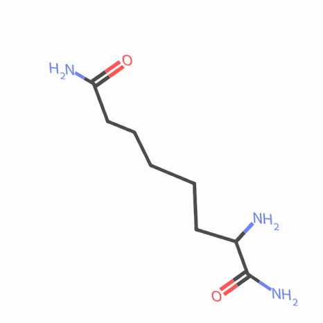 NC(=O)CCCCCC(N)C(N)=O